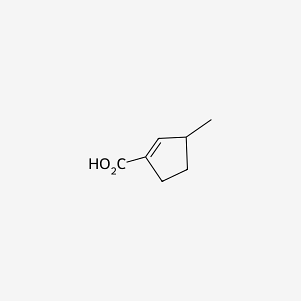 CC1C=C(C(=O)O)CC1